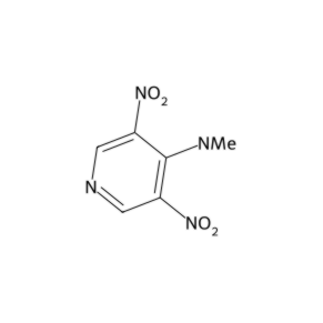 CNc1c([N+](=O)[O-])cncc1[N+](=O)[O-]